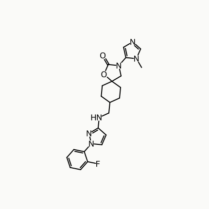 Cn1cncc1N1CC2(CCC(CNc3ccn(-c4ccccc4F)n3)CC2)OC1=O